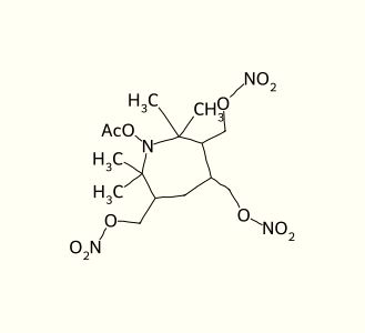 CC(=O)ON1C(C)(C)C(CO[N+](=O)[O-])CC(CO[N+](=O)[O-])C(CO[N+](=O)[O-])C1(C)C